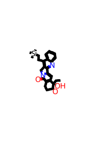 CC[C@@]1(O)C(=O)CCc2c1cc1n(c2=O)Cc2c-1nc1ccccc1c2CC[Si](C)(C)C